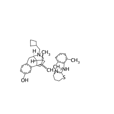 C=C1C[C@H](C)[C@H]2[C@H]3Cc4ccc(O)cc4[C@@]2(CCN3CC2CCC2)C1.Cc1cccc(C)c1NC1=NCCCS1